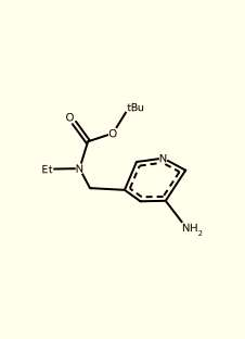 CCN(Cc1cncc(N)c1)C(=O)OC(C)(C)C